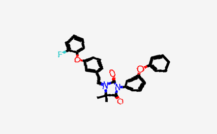 CC1(C)C(=O)N(c2cccc(OC3=CCCC=C3)c2)C(=O)N1Cc1cccc(Oc2ccccc2F)c1